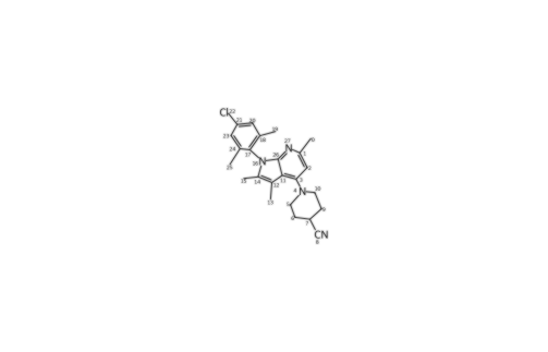 Cc1cc(N2CCC(C#N)CC2)c2c(C)c(C)n(-c3c(C)cc(Cl)cc3C)c2n1